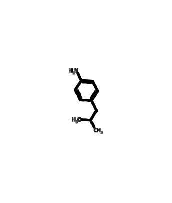 C[C](C)Cc1ccc(N)cc1